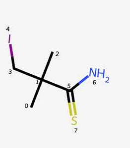 CC(C)(CI)C(N)=S